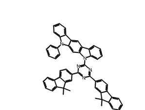 CC1(C)c2ccccc2-c2ccc(-c3nc(-c4ccc5c(c4)C(C)(C)c4ccccc4-5)nc(-n4c5ccccc5c5cc6c7ccccc7n(-c7ccccc7)c6cc54)n3)cc21